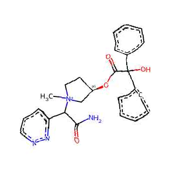 C[N+]1(C(C(N)=O)c2cccnn2)CC[C@@H](OC(=O)C(O)(c2ccccc2)c2ccccc2)C1